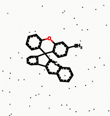 Bc1ccc2c(c1)Oc1ccccc1C21c2ccccc2-c2cc3ccccc3cc21